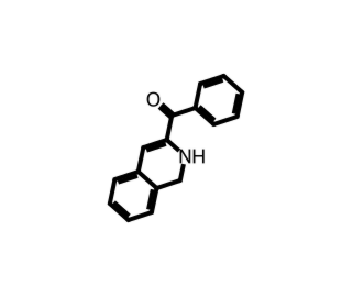 O=C(C1=Cc2ccccc2CN1)c1ccccc1